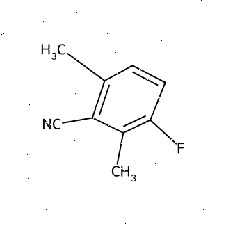 Cc1ccc(F)c(C)c1C#N